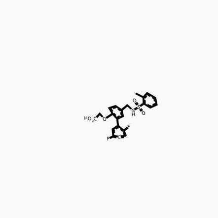 Cc1ccccc1S(=O)(=O)NCc1ccc(OCC(=O)O)c(-c2cc(F)ccc2F)c1